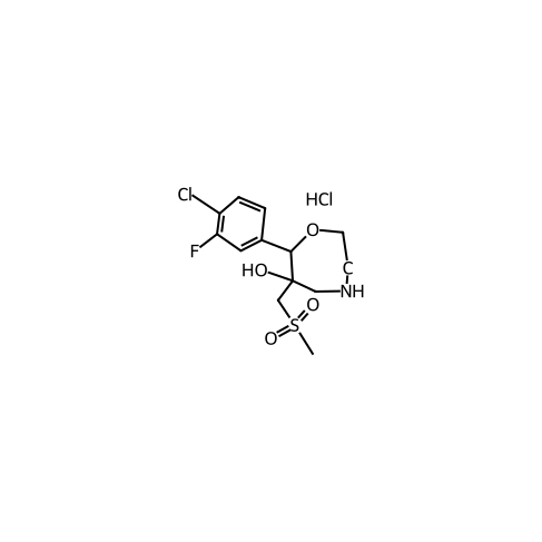 CS(=O)(=O)CC1(O)CNCCOC1c1ccc(Cl)c(F)c1.Cl